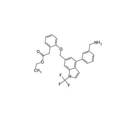 CCOC(=O)Cc1ccccc1OCc1cc(-c2cccc(CN)c2)c2ccn(C(F)(F)F)c2c1